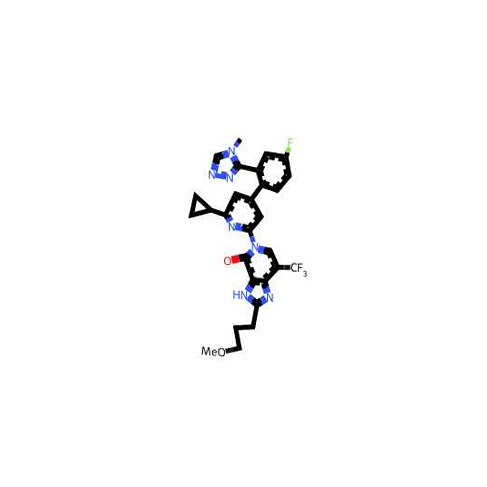 COCCCc1nc2c(C(F)(F)F)cn(-c3cc(-c4ccc(F)cc4-c4nncn4C)cc(C4CC4)n3)c(=O)c2[nH]1